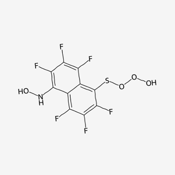 ONc1c(F)c(F)c(F)c2c(SOOO)c(F)c(F)c(F)c12